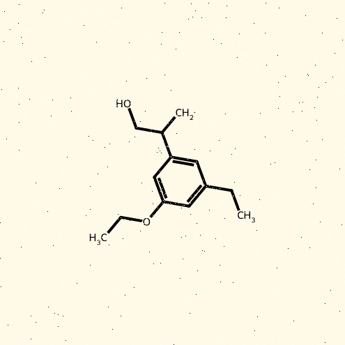 [CH2]C(CO)c1cc(CC)cc(OCC)c1